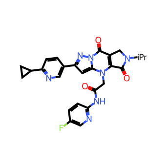 CC(C)N1Cc2c(n(CC(=O)Nc3ccc(F)cn3)c3cc(-c4ccc(C5CC5)nc4)nn3c2=O)C1=O